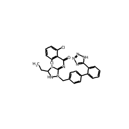 CCC1NN(Cc2ccc(-c3ccccc3-c3nnn[nH]3)cc2)C(=NC(=O)c2c(Cl)cccc2Cl)S1